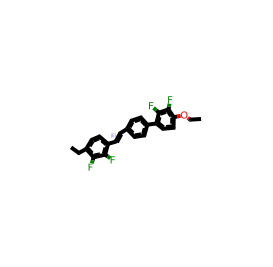 CCOc1ccc(-c2ccc(/C=C/c3ccc(CC)c(F)c3F)cc2)c(F)c1F